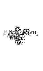 COC(=O)CN(C)C(=O)OCc1cccc2nnc([C@@H](COCc3ccccc3)NCC(=O)C(C)(C)N)n12